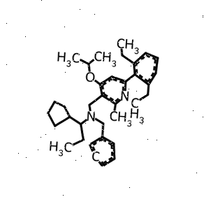 CCc1cccc(CC)c1-c1cc(OC(C)C)c(CN(Cc2ccccc2)C(CC)C2CCCC2)c(C)n1